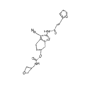 N#Cc1c(NC(=O)C=Cc2ccco2)sc2c1CCC(OC(=O)NC1COC1)C2